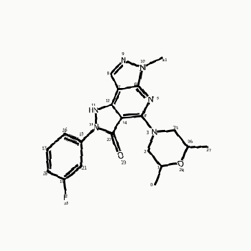 CC1CN(c2nc3c(cnn3C)c3[nH]n(-c4cccc(F)c4)c(=O)c23)CC(C)O1